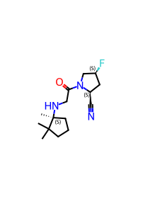 CC1(C)CCC[C@]1(C)NCC(=O)N1C[C@@H](F)C[C@H]1C#N